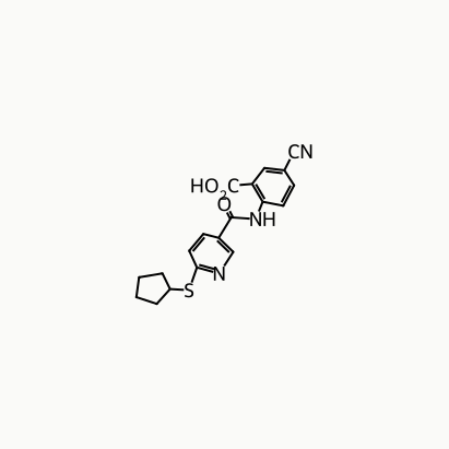 N#Cc1ccc(NC(=O)c2ccc(SC3CCCC3)nc2)c(C(=O)O)c1